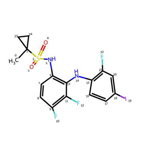 CC1(S(=O)(=O)Nc2ccc(F)c(F)c2Nc2ccc(I)cc2F)CC1